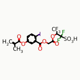 C=C(C)C(=O)Oc1ccc(I)c(C(=O)OCC(=O)OC(C(F)(F)F)C(F)(F)S(=O)(=O)O)c1